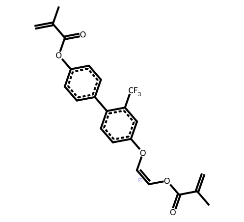 C=C(C)C(=O)O/C=C\Oc1ccc(-c2ccc(OC(=O)C(=C)C)cc2)c(C(F)(F)F)c1